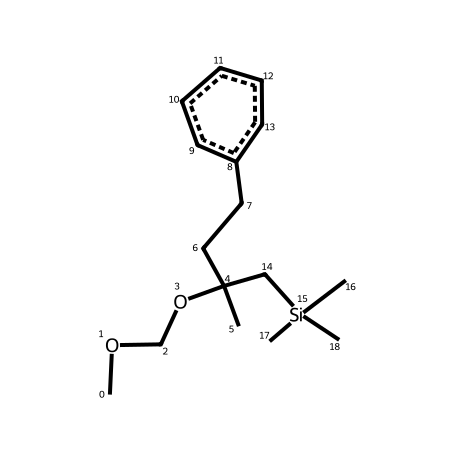 COCOC(C)(CCc1ccccc1)C[Si](C)(C)C